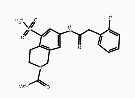 COC(=O)N1CCc2c(cc(NC(=O)Cc3ccccc3Cl)cc2S(N)(=O)=O)C1